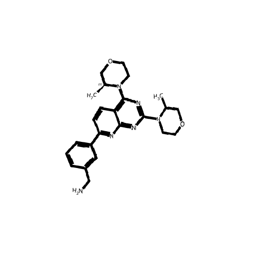 CC1COCCN1c1nc(N2CCOC[C@@H]2C)c2ccc(-c3cccc(CN)c3)nc2n1